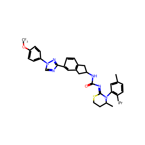 Cc1ccc(C(C)C)c(N2C(=NC(=O)NC3Cc4ccc(-c5ncn(-c6ccc(OC(F)(F)F)cc6)n5)cc4C3)SCCC2C)c1